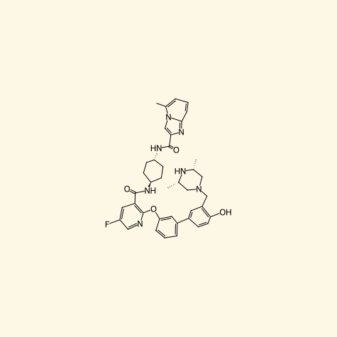 Cc1cccc2nc(C(=O)N[C@H]3CC[C@H](NC(=O)c4cc(F)cnc4Oc4cccc(-c5ccc(O)c(CN6C[C@@H](C)N[C@@H](C)C6)c5)c4)CC3)cn12